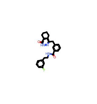 O=C(NCCc1cccc(F)c1)c1cccc(Cc2n[nH]c(=O)c3c2CCCC3)c1